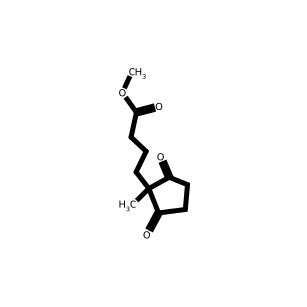 COC(=O)CCCC1(C)C(=O)CCC1=O